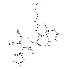 CCCCCCN(C(=O)N1CC(=O)N(C)C(c2cc[nH]c2)C1=O)C1=C(Cl)CC=CC1Cl